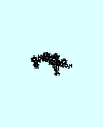 CCCC[C@H](NC(=O)OCC1c2ccccc2-c2ccccc21)C(=O)N[C@@H](CCCC)C(=O)N(C)[C@@H](Cc1cccnc1)C(=O)N[C@@H](COCCC(C)C)C(=O)N[C@@H](CC(=O)O)C(=O)N1CCCCC1